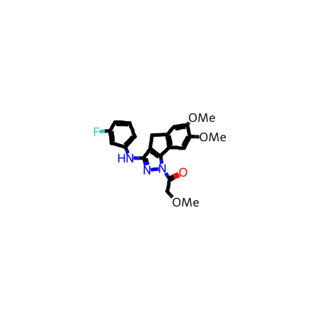 COCC(=O)n1nc(Nc2cccc(F)c2)c2c1-c1cc(OC)c(OC)cc1C2